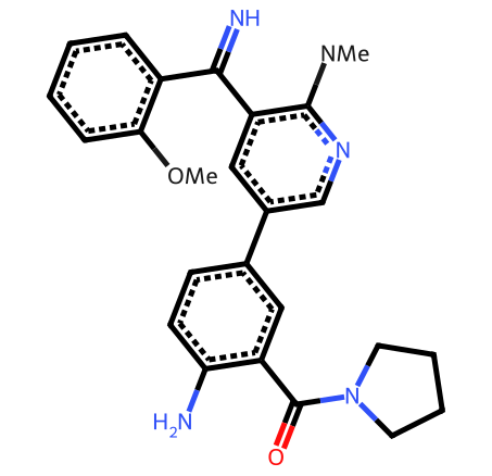 CNc1ncc(-c2ccc(N)c(C(=O)N3CCCC3)c2)cc1C(=N)c1ccccc1OC